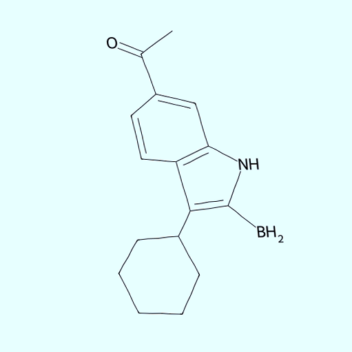 Bc1[nH]c2cc(C(C)=O)ccc2c1C1CCCCC1